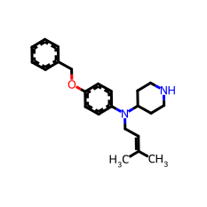 CC(C)=CCN(c1ccc(OCc2ccccc2)cc1)C1CCNCC1